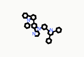 c1ccc(-c2cc(-c3ccccc3)nc(-c3cccc(-n4c5cc(-c6cccc7c8ccccc8n(-c8ccccc8)c67)ccc5c5ncccc54)c3)c2)cc1